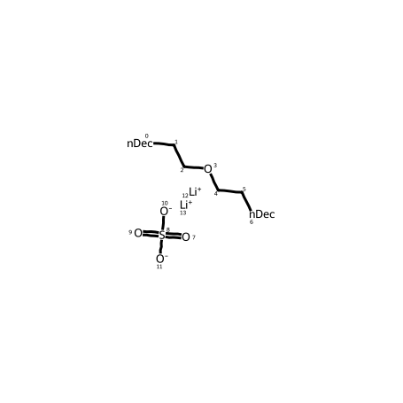 CCCCCCCCCCCCOCCCCCCCCCCCC.O=S(=O)([O-])[O-].[Li+].[Li+]